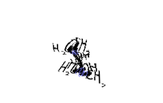 C=C/C=C\C(O)=C(/C=C)CNCCNCC(=C/C=C)/C(O)=C\C=C